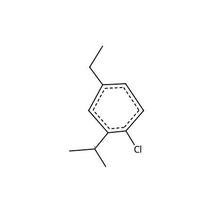 CCc1ccc(Cl)c([C](C)C)c1